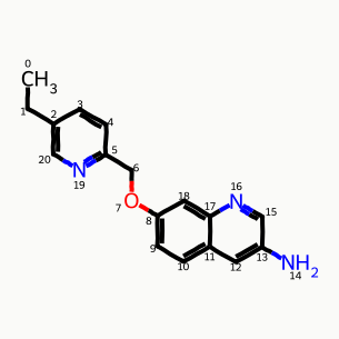 CCc1ccc(COc2ccc3cc(N)cnc3c2)nc1